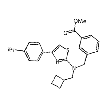 COC(=O)c1cccc(CN(CC2CCC2)c2nc(-c3ccc(C(C)C)cc3)cs2)c1